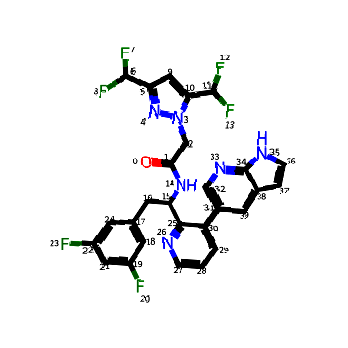 O=C(Cn1nc(C(F)F)cc1C(F)F)NC(Cc1cc(F)cc(F)c1)c1ncccc1-c1cnc2[nH]ccc2c1